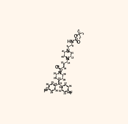 CC(C)(C)OC(=O)NCCN1CCN(C/C=C/C(=O)N2CCC(=C(c3ccc(F)cc3)c3ccc(F)cc3)CC2)CC1